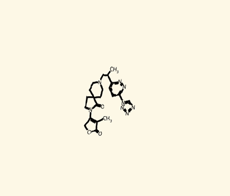 CC1=C(N2CCC3(CCN(CC(C)c4ccc(-n5cnnn5)nn4)CC3)C2=O)COC1=O